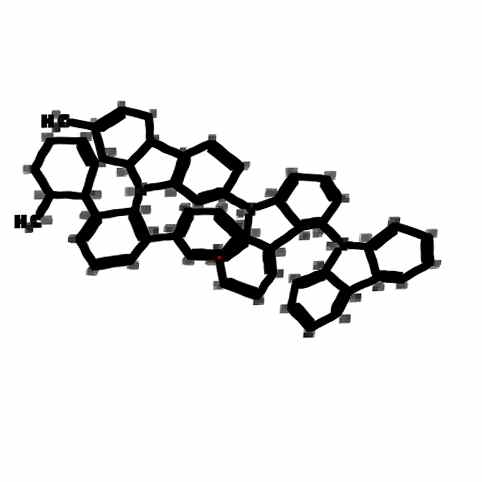 CC1=CCC2c3ccc(-n4c5ccccc5c5c(-n6c7ccccc7c7ccccc76)cccc54)cc3N(c3c(-c4ccccc4)cccc3C3C=CCCC3C)C2C1